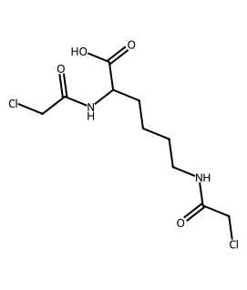 O=C(CCl)NCCCCC(NC(=O)CCl)C(=O)O